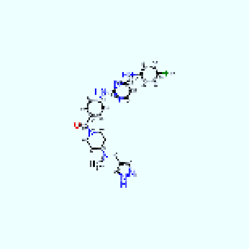 CN(Cc1cn[nH]c1)C1CCN(C(=O)c2ccc(Nc3nccc(Nc4ccc(F)cc4)n3)cc2)CC1